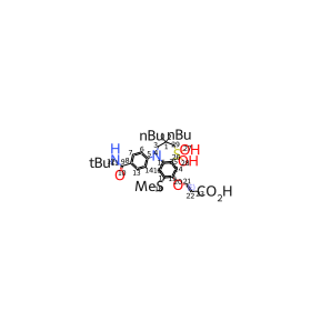 CCCCC1(CCCC)CN(c2ccc(C(=O)NC(C)(C)C)cc2)c2cc(SC)c(O/C=C/C(=O)O)cc2S(O)(O)C1